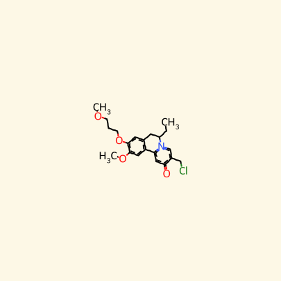 CCC1Cc2cc(OCCCOC)c(OC)cc2-c2cc(=O)c(CCl)cn21